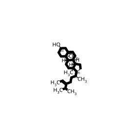 CC=C(CC[C@@H](C)[C@H]1CC[C@H]2[C@@H]3CC=C4C[C@@H](O)CC[C@]4(C)[C@H]3CC[C@]12C)C(C)C